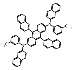 Cc1cccc(N(c2ccc3ccccc3c2)c2ccc3c(-c4ccc5ccccc5c4)c4cc(N(c5cccc(C)c5)c5ccc6ccccc6c5)ccc4c(-c4ccc5ccccc5c4)c3c2)c1